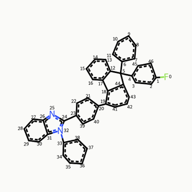 Fc1ccc(C2(c3ccccc3)c3ccccc3-c3c(-c4ccc(-c5nc6ccccc6n5-c5ccccc5)cc4)cccc32)cc1